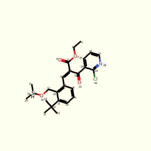 CCOC(=O)/C(=C/c1cccc(C(C)(C)C)c1CO[SiH](C)C)C(=O)c1cccnc1Cl